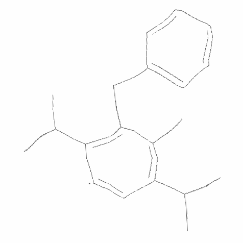 Cc1c(C(C)C)c[c]c(C(C)C)c1Cc1ccccc1